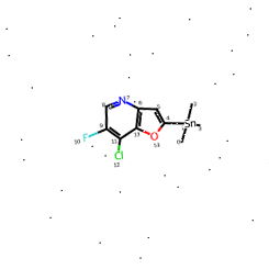 [CH3][Sn]([CH3])([CH3])[c]1cc2ncc(F)c(Cl)c2o1